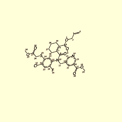 C=CCOC(=O)C1=C(C(=O)N(Cc2cncc(C(=O)OC)c2)c2cc(SCC(=O)OC)c(Cl)cc2F)CCCC1